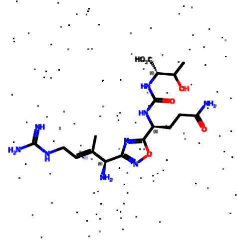 C/C(=C\CNC(=N)N)[C@H](N)c1noc([C@H](CCC(N)=O)NC(=O)N[C@H](C(=O)O)C(C)O)n1